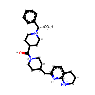 O=C(O)[C@@H](c1ccccc1)N1CCC(C(=O)N2CCC(Cc3ccc4c(n3)NCCC4)CC2)CC1